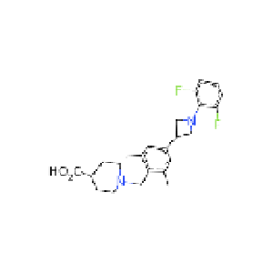 Cc1cc(C2CN(c3c(F)cccc3F)C2)cc(C)c1CN1CCC(C(=O)O)CC1